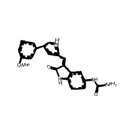 COc1cccc(-c2c[nH]c(C=C3C(=O)Nc4ccc(NC(N)=O)cc43)c2)c1